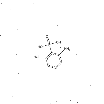 Cl.Nc1ccccc1P(=O)(O)O